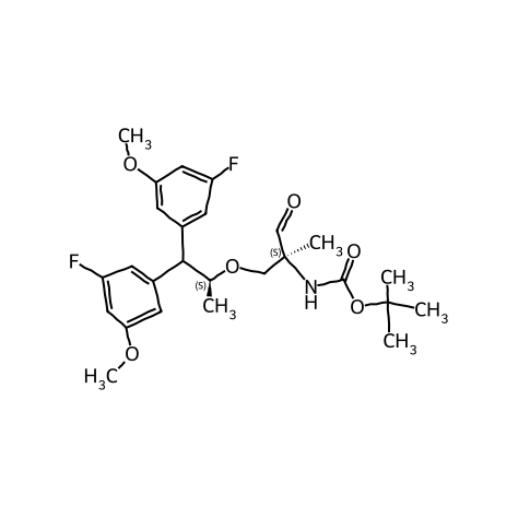 COc1cc(F)cc(C(c2cc(F)cc(OC)c2)[C@H](C)OC[C@@](C)(C=O)NC(=O)OC(C)(C)C)c1